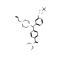 C=CCN1C[C@H](C)N(C(c2ccc(C(=O)N(CC)CC)cc2)c2cccc(OS(=O)(=O)C(F)(F)F)c2)C[C@H]1C